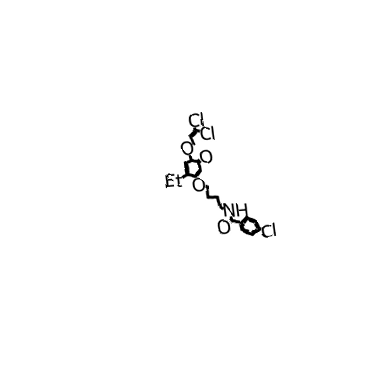 CCC1=CC(OCC=C(Cl)Cl)C(=O)C=C1OCCCCNC(=O)c1ccc(Cl)cc1